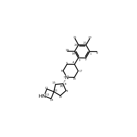 Cc1cc(C2CCN([C@@H]3CCC4(CNC4)C3)CC2)c(C)c(C)c1C